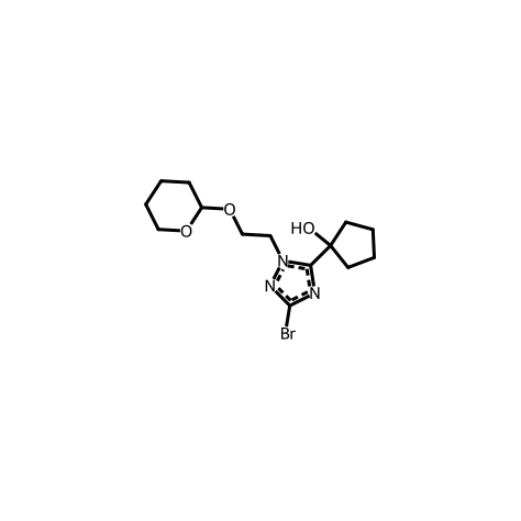 OC1(c2nc(Br)nn2CCOC2CCCCO2)CCCC1